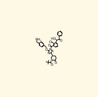 CC(C)(C)C(=O)N1CC(c2nc(OCc3ccc(CN)cc3)n(C(=O)c3cccc(C(O)C(=O)c4ccccc4)c3Cl)n2)CCC1=O